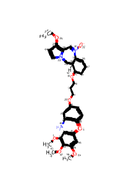 COc1cc(Oc2ccc(OCCCOC3CCC=C4[C@@H]3Cn3ccc(OC)c3C=[N+]4[O-])cc2N)cc(OC)c1OC